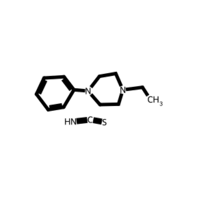 CCN1CCN(c2ccccc2)CC1.N=C=S